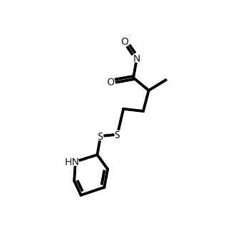 CC(CCSSC1C=CC=CN1)C(=O)N=O